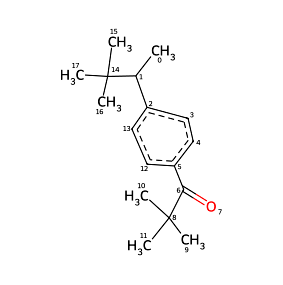 CC(c1ccc(C(=O)C(C)(C)C)cc1)C(C)(C)C